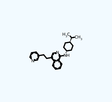 CC(C)[C@H]1CC[C@H](Nc2ncc(CCc3cccnc3)c3ccccc23)CC1